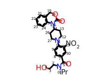 CC(C)N(CCO)C(=O)c1ccc(N2CCC(N3C(=O)OCc4ccccc43)CC2)c([N+](=O)[O-])c1